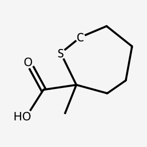 CC1(C(=O)O)CCCCCS1